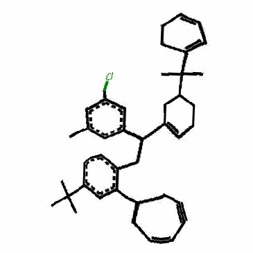 Cc1cc(Cl)cc(C(Cc2ccc(C(C)(C)C)cc2C2CC#CC=CC2)C2=CCCC(C(C)(C)C3=CC=CCC3)C2)c1